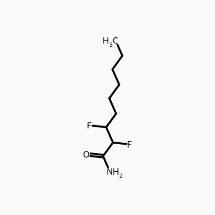 CCCCCCC(F)C(F)C(N)=O